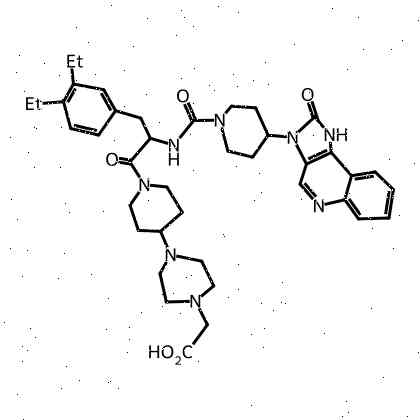 CCc1ccc(CC(NC(=O)N2CCC(n3c(=O)[nH]c4c5ccccc5ncc43)CC2)C(=O)N2CCC(N3CCN(CC(=O)O)CC3)CC2)cc1CC